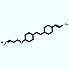 C=CCCOC1CCC(CCC2CCC(/C=C/CCC)CC2)CC1